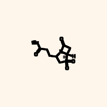 CC(C)(C)C(=O)CCC1CS(=O)(=O)[C@H]2CC(=O)N12